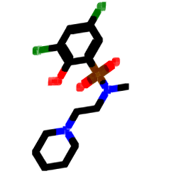 CN(CCN1CCCCC1)S(=O)(=O)c1cc(Cl)cc(Cl)c1O